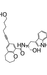 O=C(N[C@@H](CO)Cc1c[nH]c2ccccc12)c1cc(C#CCCCCO)cc2c1OCCCC2